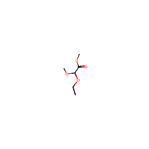 CCOC(OC)C(=O)OC